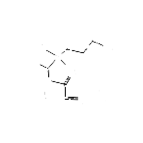 C=CC(=O)OC(C)[N+](C)(C)CCCC.I.N.[I-]